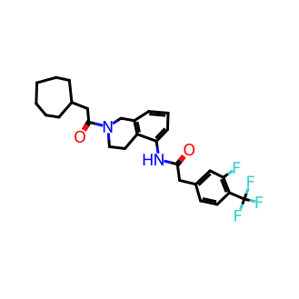 O=C(Cc1ccc(C(F)(F)F)c(F)c1)Nc1cccc2c1CCN(C(=O)CC1CCCCCC1)C2